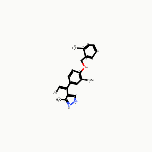 COc1cc(/C(=C/C(C)=O)c2c[nH]nc2C)ccc1OCc1ccccc1C(F)(F)F